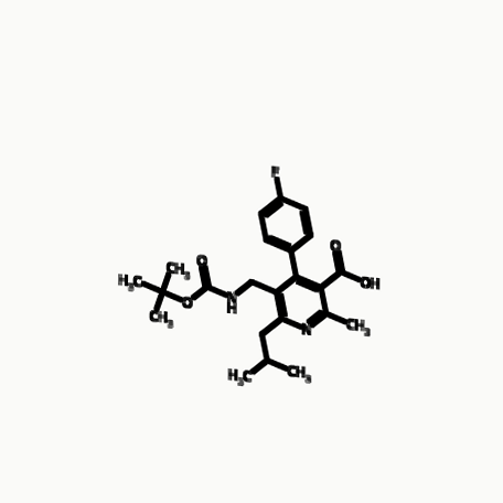 Cc1nc(CC(C)C)c(CNC(=O)OC(C)(C)C)c(-c2ccc(F)cc2)c1C(=O)O